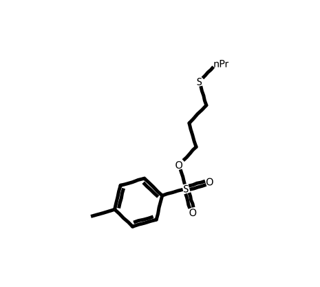 CCCSCCCOS(=O)(=O)c1ccc(C)cc1